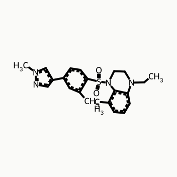 CCN1CCN(S(=O)(=O)c2ccc(-c3cnn(C)c3)cc2C)c2c(C)cccc21